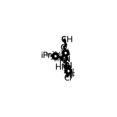 C#CCOc1ccc2nc(-c3nc4cc(F)c(Cl)cc4[nH]3)nc(-c3ccc(C(C)C)cc3)c2c1